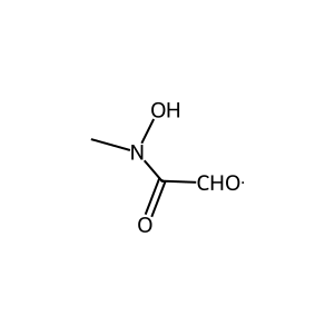 CN(O)C(=O)[C]=O